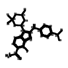 Cc1c(C(N)=O)ccc2c1nc(Nc1ccc(C(C)C)cc1)n2C1CC(C)CC(C)(C)C1